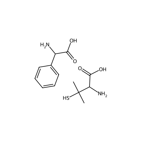 CC(C)(S)C(N)C(=O)O.NC(C(=O)O)c1ccccc1